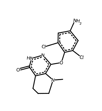 CN1CCCc2c1c(Oc1c(Cl)cc(N)cc1Cl)n[nH]c2=O